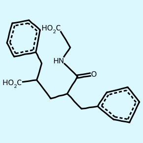 O=C(O)CNC(=O)C(Cc1ccccc1)CC(Cc1ccccc1)C(=O)O